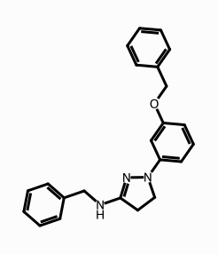 c1ccc(CNC2=NN(c3cccc(OCc4ccccc4)c3)CC2)cc1